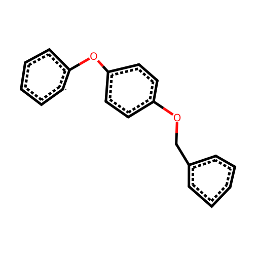 [c]1ccccc1Oc1ccc(OCc2ccccc2)cc1